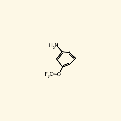 Nc1[c]ccc(OC(F)(F)F)c1